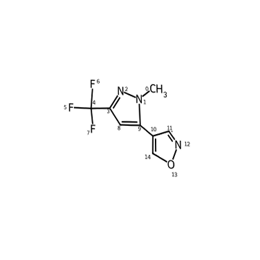 Cn1nc(C(F)(F)F)cc1-c1[c]noc1